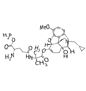 COc1ccc2c3c1O[C@H]1C(OC(=O)C(C)(C)NC(=O)CCC(N)C(=O)OP)=CC[C@@]4(O)[C@@H](C2)N(CC2CC2)CC[C@]314